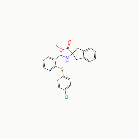 COC(=O)C1(NCc2ccccc2Sc2ccc(Cl)cc2)Cc2ccccc2C1